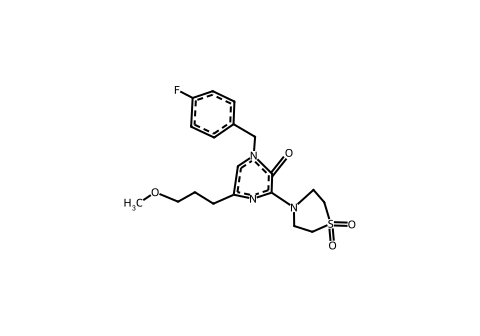 COCCCc1cn(Cc2ccc(F)cc2)c(=O)c(N2CCS(=O)(=O)CC2)n1